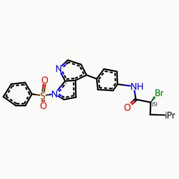 CC(C)C[C@H](Br)C(=O)Nc1ccc(-c2ccnc3c2ccn3S(=O)(=O)c2ccccc2)cc1